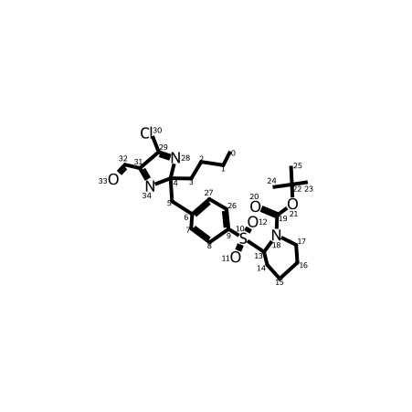 CCCCC1(Cc2ccc(S(=O)(=O)C3CCCCN3C(=O)OC(C)(C)C)cc2)N=C(Cl)C(C=O)=N1